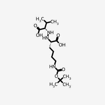 CC(C)[C@H](NN[C@@H](CCCCNC(=O)OC(C)(C)C)C(=O)O)C(=O)O